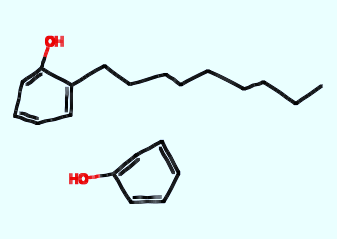 CCCCCCCCCc1ccccc1O.Oc1ccccc1